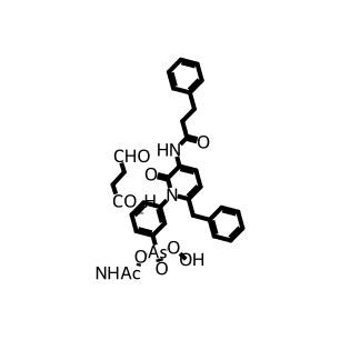 CC(=O)NO[As](=O)(OO)c1cccc(-n2c(Cc3ccccc3)ccc(NC(=O)CCc3ccccc3)c2=O)c1.O=CCCC(=O)O